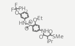 CCOc1cc(NC(=O)C(C(=O)SC)C(C)C)ccc1S(=O)(=O)Nc1cccc(OC(F)(F)P)c1